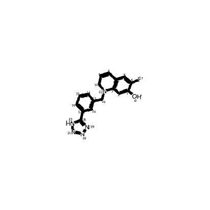 Oc1cc2c(cc1F)C=CCN2Cc1cccc(-c2nnn[nH]2)c1